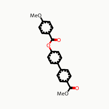 COC(=O)c1ccc(-c2ccc(OC(=O)c3ccc(OC)cc3)cc2)cc1